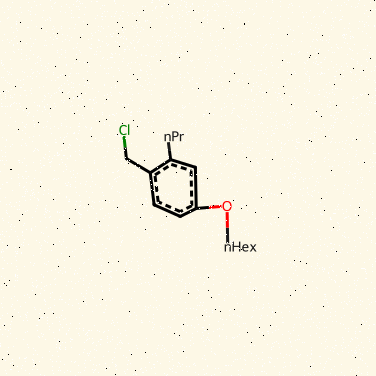 CCCCCCOc1ccc(CCl)c(CCC)c1